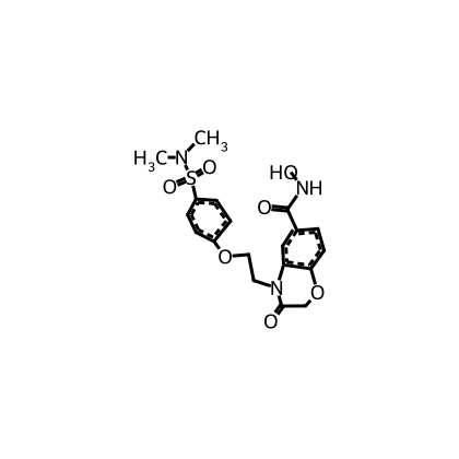 CN(C)S(=O)(=O)c1ccc(OCCN2C(=O)COc3ccc(C(=O)NO)cc32)cc1